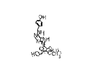 CC1(C)OC2C(O1)[C@@H](CO)O[C@H]2N1CNc2c(NCc3ccc(O)cc3)ncnc21